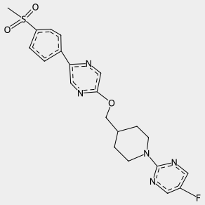 CS(=O)(=O)c1ccc(-c2cnc(OCC3CCN(c4ncc(F)cn4)CC3)cn2)cc1